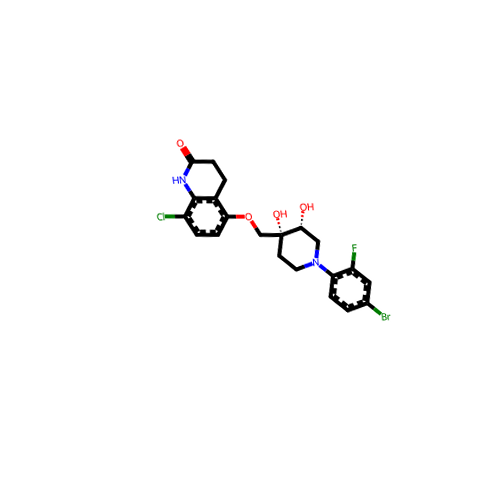 O=C1CCc2c(OC[C@]3(O)CCN(c4ccc(Br)cc4F)C[C@H]3O)ccc(Cl)c2N1